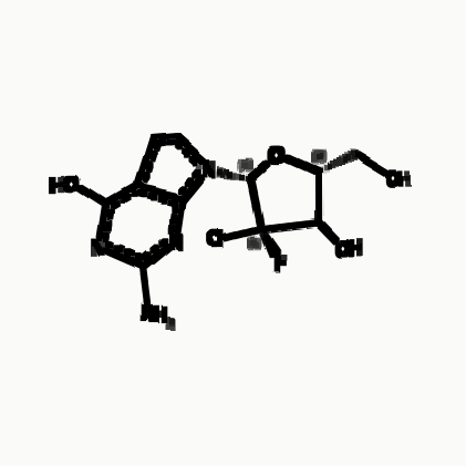 Nc1nc(O)c2ccn([C@@H]3O[C@H](CO)C(O)[C@]3(F)Cl)c2n1